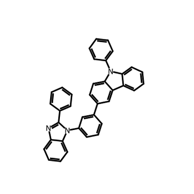 c1ccc(-c2nc3ccccc3n2-c2cccc(-c3ccc4c(c3)c3ccccc3n4-c3ccccc3)c2)cc1